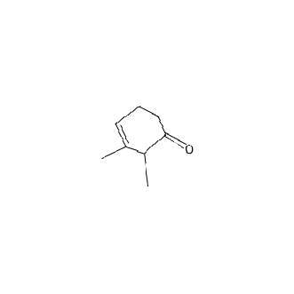 CC1=CCCC(=O)C1C